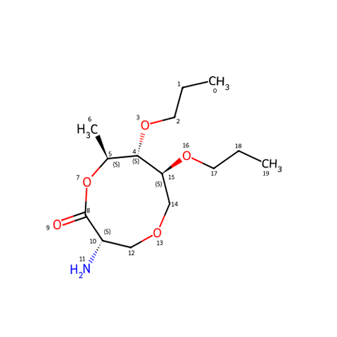 CCCO[C@H]1[C@H](C)OC(=O)[C@@H](N)COC[C@@H]1OCCC